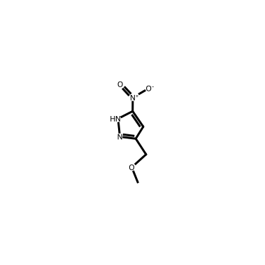 COCc1cc([N+](=O)[O-])[nH]n1